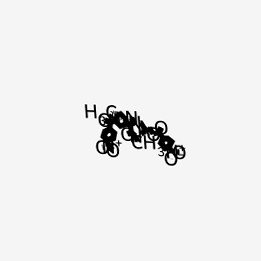 C[C@@H]1Cc2nn3c(c2CN1C(=O)c1ccc([N+](=O)[O-])cc1)C(=O)N(C)C[C@H](COC(=O)c1ccc([N+](=O)[O-])cc1)C3